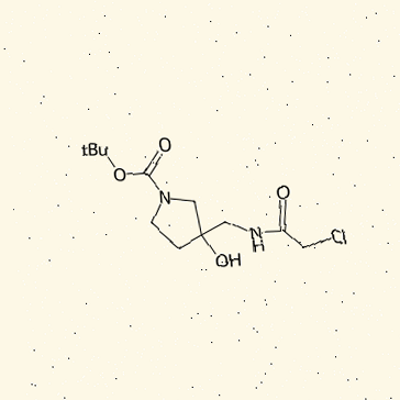 CC(C)(C)OC(=O)N1CCC(O)(CNC(=O)CCl)C1